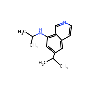 CC(C)Nc1cc(C(C)C)cc2ccncc12